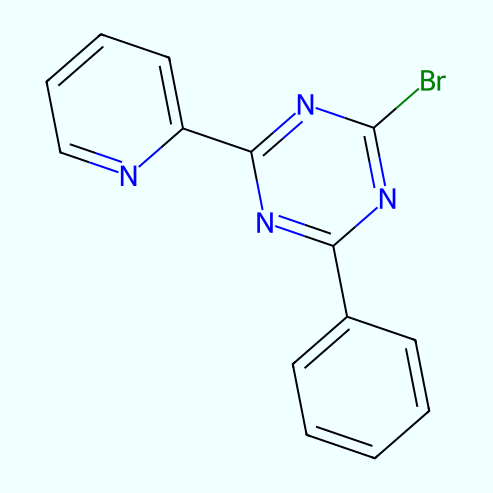 Brc1nc(-c2ccccc2)nc(-c2ccccn2)n1